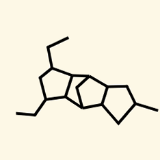 CCC1CC(CC)C2C3CC(C4CC(C)CC43)C12